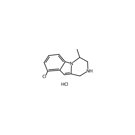 CC1CNCc2cc3c(Cl)cccc3n21.Cl